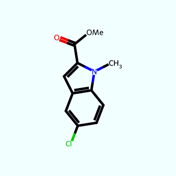 COC(=O)c1cc2cc(Cl)ccc2n1C